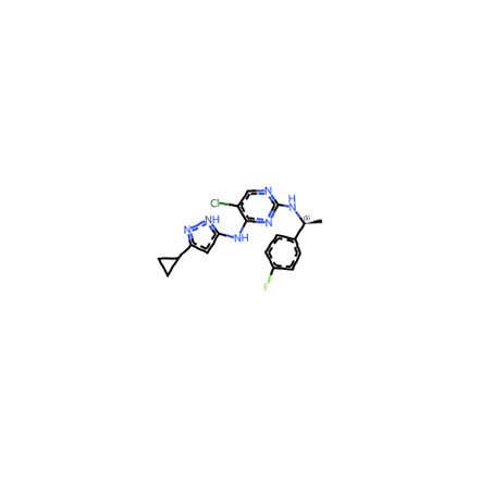 C[C@H](Nc1ncc(Cl)c(Nc2cc(C3CC3)n[nH]2)n1)c1ccc(F)cc1